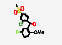 COc1ccc(F)cc1C(=O)c1ccc(S(C)(=O)=O)cc1Cl